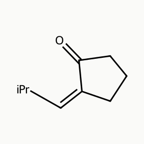 CC(C)C=C1CCCC1=O